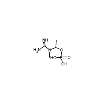 CC(OP(=O)(O)O)N(C)C(=N)N